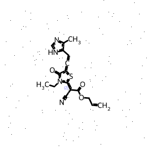 C=CCOC(=O)/C(C#N)=c1\sc(=C=Cc2[nH]cnc2C)c(=O)n1CC